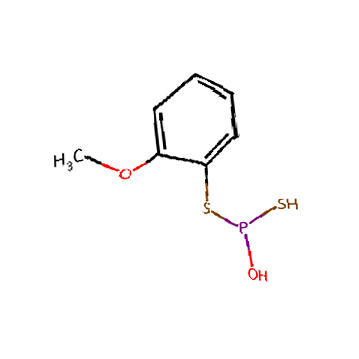 COc1ccccc1SP(O)S